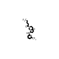 O=C(CCCC(F)(F)F)N1CC[C@@H]2CC[C@@H](Nc3cccc(C(F)(F)F)n3)N2C1